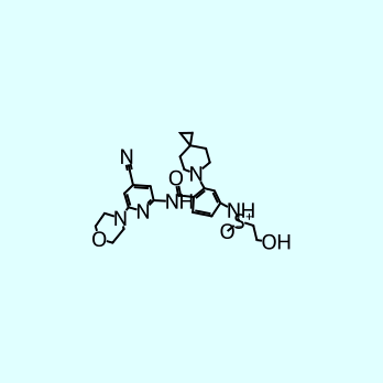 N#Cc1cc(NC(=O)c2ccc(N[S+]([O-])CCO)cc2N2CCC3(CC2)CC3)nc(N2CCOCC2)c1